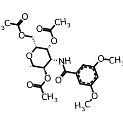 COc1cc(OC)cc(C(=O)N[C@H]2[C@@H](OC(C)=O)[C@@H](COC(C)=O)O[CH][C@@H]2OC(C)=O)c1